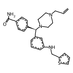 C=CCN1CCN([C@H](c2ccc(C(N)=O)cc2)c2cccc(NCc3cccs3)c2)CC1